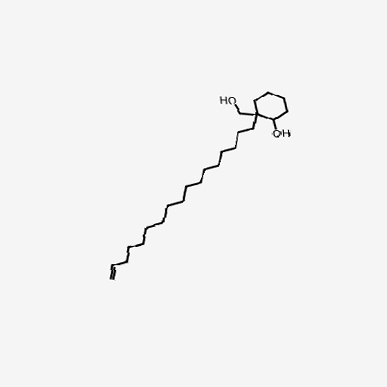 C=CCCCCCCCCCCCCCCCC1(CO)CCCCC1O